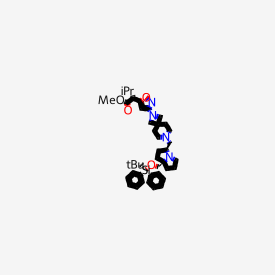 COC(=O)C(c1cc(N2CC3(CCN(C[C@@H]4CC[C@]5(CO[Si](c6ccccc6)(c6ccccc6)C(C)(C)C)CCCN45)CC3)C2)no1)C(C)C